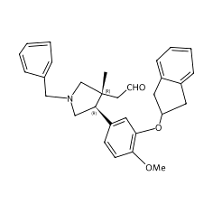 COc1ccc([C@H]2CN(Cc3ccccc3)C[C@]2(C)CC=O)cc1OC1Cc2ccccc2C1